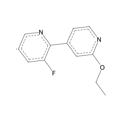 CCOc1cc(-c2nc[c]cc2F)ccn1